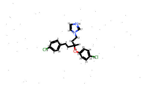 CC(CCc1ccc(Cl)cc1)(CCn1ccnc1)Oc1ccc(Cl)cc1